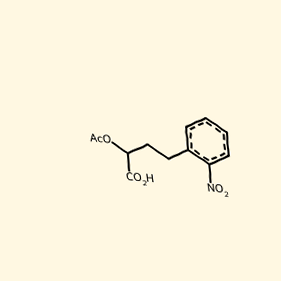 CC(=O)OC(CCc1ccccc1[N+](=O)[O-])C(=O)O